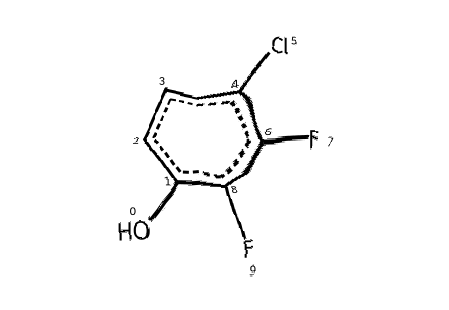 Oc1ccc(Cl)c(F)c1F